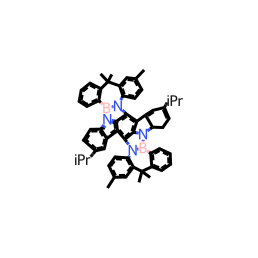 Cc1ccc2c(c1)C(C)(C)c1ccccc1B1N2c2c3c(c4c5c2c2cc(C(C)C)ccc2n5B2c5ccccc5C(C)(C)c5cc(C)ccc5N24)C2=CC(C(C)C)=CCC2N13